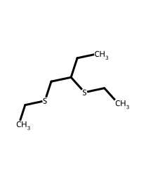 CCSCC(CC)SCC